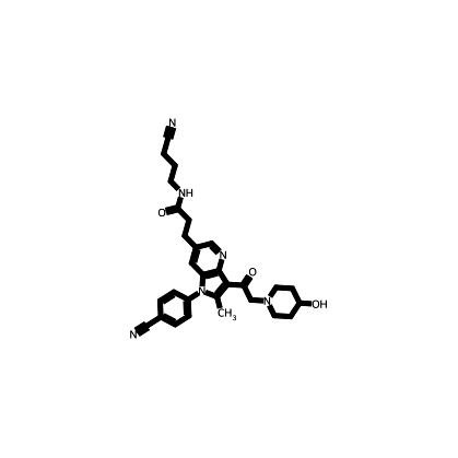 Cc1c(C(=O)CN2CCC(O)CC2)c2ncc(CCC(=O)NCCCC#N)cc2n1-c1ccc(C#N)cc1